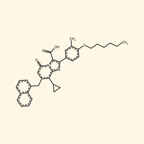 CCCCCCOc1ccc(-c2sc3c(C4CC4)c(Cc4cccc5ccccc45)cc(=O)n3c2C(=O)O)cc1C